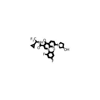 O=C(NC(C1CC1)C(F)(F)F)c1cn(-c2c(F)cc(F)cc2F)c2nc(N3CCC(O)C3)ccc2c1=O